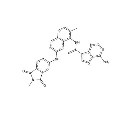 Cc1ccc2cnc(Nc3ccc4c(c3)C(=O)N(C)C4=O)cc2c1NC(=O)c1csc2c(N)ncnc12